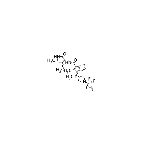 COc1cc(C)[nH]c(=O)c1CNC(=O)c1c(C)n([C@H](C)C2CCN(C(C)C(F)(F)F)CC2)c2ccccc12